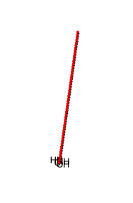 CCCCCCCCCCCCCCCCCCCCCCCCCCCCCCCCCCCCCCCCCCCCCCCCCCCCCCCCCCCCCCCCCCCCCCCCCCCCCCCCCCCCCCCCCCCCCCCCNNC(=O)O